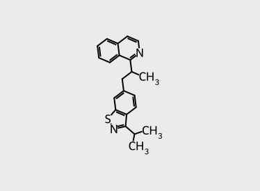 CC(C)c1nsc2cc(CC(C)c3nccc4ccccc34)ccc12